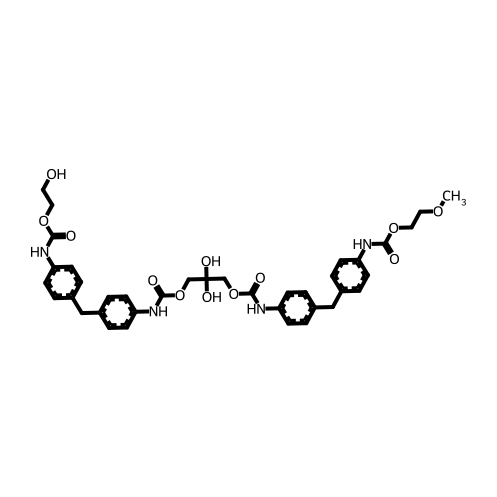 COCCOC(=O)Nc1ccc(Cc2ccc(NC(=O)OCC(O)(O)COC(=O)Nc3ccc(Cc4ccc(NC(=O)OCCO)cc4)cc3)cc2)cc1